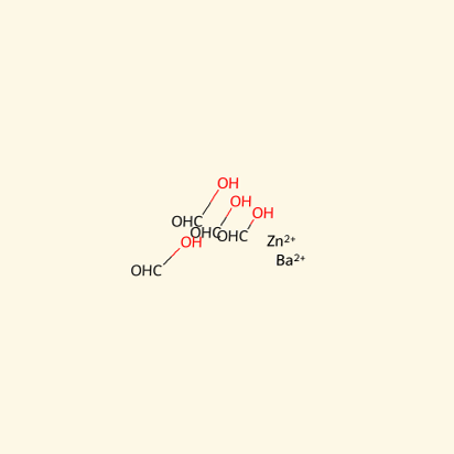 O=[C-]O.O=[C-]O.O=[C-]O.O=[C-]O.[Ba+2].[Zn+2]